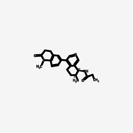 CCC(=O)N[C@@H]1c2cncc(-c3ccc4c(c3)CCC(=O)N4C)c2CC[C@@H]1N